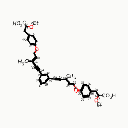 CCOC(Cc1ccc(OC/C=C(\C)C#Cc2cccc(C#C/C(C)=C/COc3ccc(CC(OCC)C(=O)O)cc3)c2)cc1)C(=O)O